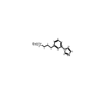 CCOC(=O)CCCc1cccc(-n2ccnc2)c1